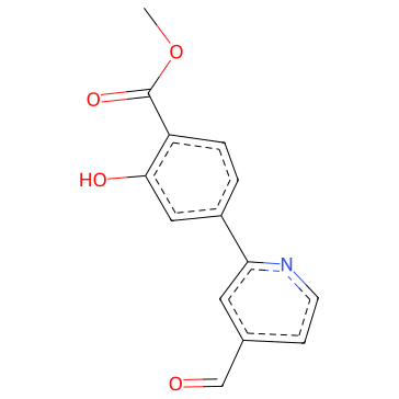 COC(=O)c1ccc(-c2cc(C=O)ccn2)cc1O